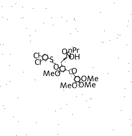 CCCC(=O)N(O)C#CCc1cc(C2COC(c3cc(OC)c(OC)c(OC)c3)C2)cc(OC)c1OCCSc1ccc(Cl)c(Cl)c1